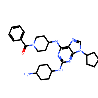 NC1CCC(Nc2nc(NC3CCN(C(=O)c4ccccc4)CC3)c3ncn(C4CCCC4)c3n2)CC1